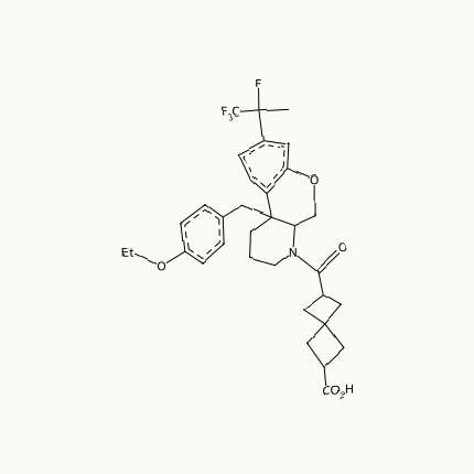 CCOc1ccc(CC23CCCN(C(=O)C4CC5(CC(C(=O)O)C5)C4)C2COc2cc(C(C)(F)C(F)(F)F)ccc23)cc1